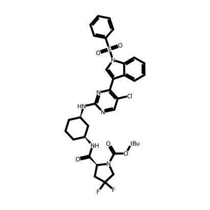 CC(C)(C)OC(=O)N1CC(F)(F)C[C@H]1C(=O)N[C@H]1CCC[C@@H](Nc2ncc(Cl)c(-c3cn(S(=O)(=O)c4ccccc4)c4ccccc34)n2)C1